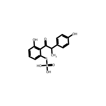 CC(C(=O)c1c(O)cccc1SP(=O)(O)O)c1ccc(O)cc1